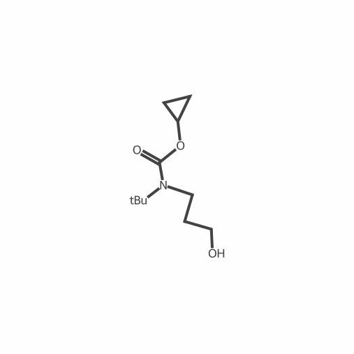 CC(C)(C)N(CCCO)C(=O)OC1CC1